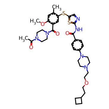 COc1cc(C)c(Sc2cnc(NC(=O)c3ccc(N4CCN(CCOCCC5CCC5)CC4)cc3)s2)cc1C(=O)N1CCN(C(C)=O)CC1